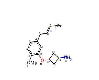 COc1ccc(C/C=C/C(C)C)cc1O[C@H]1C[C@H](N)C1